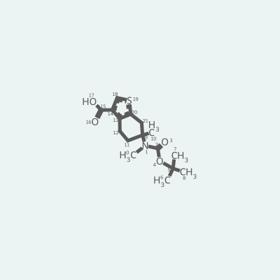 CN(C(=O)OC(C)(C)C)C1(C)CCc2c(C(=O)O)csc2C1